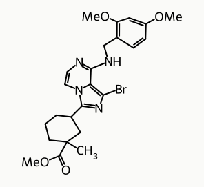 COC(=O)C1(C)CCCC(c2nc(Br)c3c(NCc4ccc(OC)cc4OC)nccn23)C1